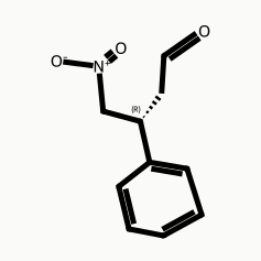 O=CC[C@@H](C[N+](=O)[O-])c1ccccc1